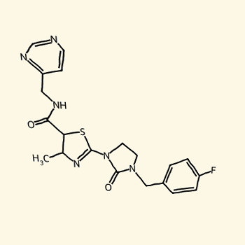 CC1N=C(N2CCN(Cc3ccc(F)cc3)C2=O)SC1C(=O)NCc1ccncn1